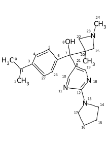 CC(C)c1ccc(C(O)(c2cnc(N3CCCC3)nc2)C2(C)CN(C)C2)cc1